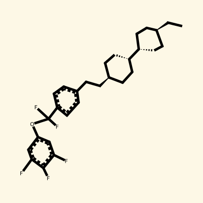 CC[C@H]1CC[C@H]([C@H]2CC[C@H](CCc3ccc(C(F)(F)Oc4cc(F)c(F)c(F)c4)cc3)CC2)CC1